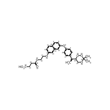 C=C(c1ccc(Oc2ccc3ccc(OCCOC(=O)CCC(=O)O)cc3c2)cc1)C1COC(C)(C)OO1